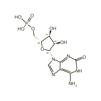 Nc1[nH]c(=O)nc2c1ncn2[C@@H]1O[C@H](COP(=O)(O)O)[C@@H](O)[C@H]1O